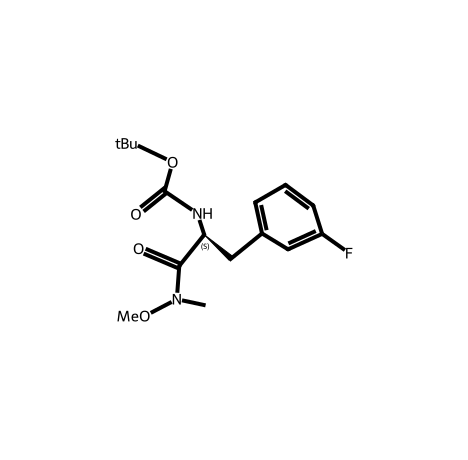 CON(C)C(=O)[C@H](Cc1cccc(F)c1)NC(=O)OC(C)(C)C